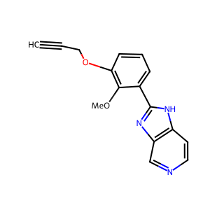 C#CCOc1cccc(-c2nc3cnccc3[nH]2)c1OC